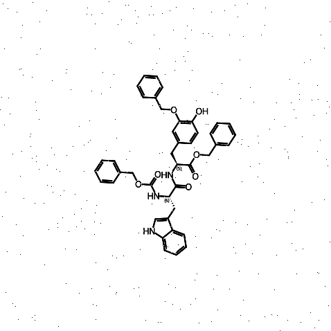 O=C(N[C@@H](Cc1c[nH]c2ccccc12)C(=O)N[C@@H](Cc1ccc(O)c(OCc2ccccc2)c1)C(=O)OCc1ccccc1)OCc1ccccc1